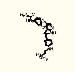 C=CC(=O)Nc1cccc(Oc2c(Cl)cnc3[nH]c(-c4ccc(NCCNC)cc4)cc23)c1